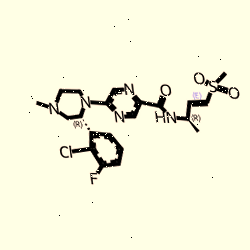 C[C@H](/C=C/S(C)(=O)=O)NC(=O)c1cnc(N2CCN(C)C[C@H]2c2cccc(F)c2Cl)cn1